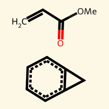 C=CC(=O)OC.c1ccc2c(c1)C2